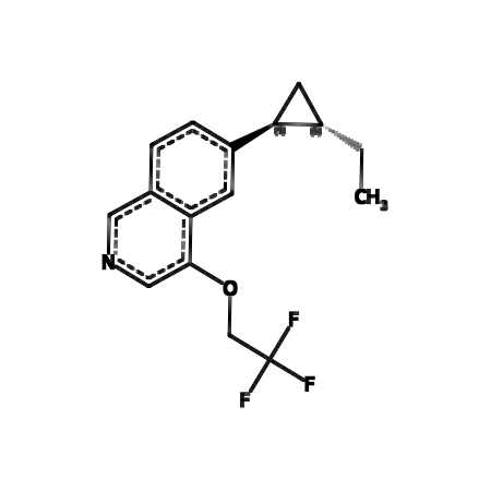 CC[C@H]1C[C@@H]1c1ccc2cncc(OCC(F)(F)F)c2c1